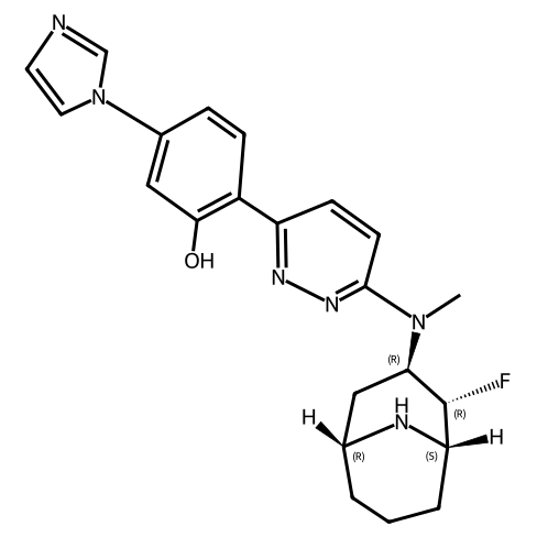 CN(c1ccc(-c2ccc(-n3ccnc3)cc2O)nn1)[C@@H]1C[C@H]2CCC[C@H](N2)[C@H]1F